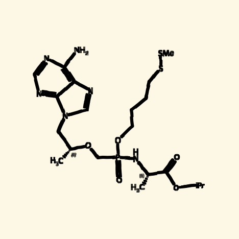 CSSCCCCOP(=O)(CO[C@H](C)Cn1cnc2c(N)ncnc21)N[C@@H](C)C(=O)OC(C)C